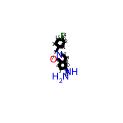 NNc1ccc2c(=O)n(Cc3ccc(F)cc3)ccc2c1